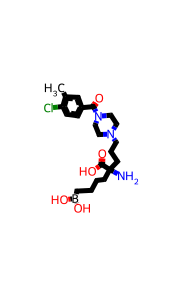 Cc1cc(C(=O)N2CCN(CCCC(N)(CCCCB(O)O)C(=O)O)CC2)ccc1Cl